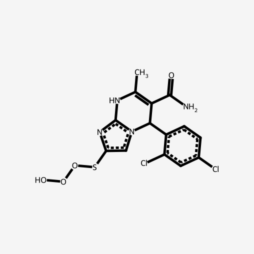 CC1=C(C(N)=O)C(c2ccc(Cl)cc2Cl)n2cc(SOOO)nc2N1